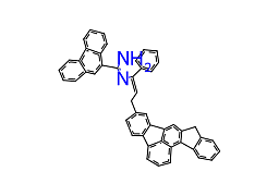 N/C(=N\C(=C/Cc1ccc2c(c1)-c1cc3c(c4cccc-2c14)-c1ccccc1C3)c1ccccc1)c1cc2ccccc2c2ccccc12